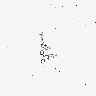 C[Si](C)(C)CCOCn1ccc2c(-c3cccc(C4(CNC(=O)O)Cc5ccccc5C4)c3)nc(Cl)nc21